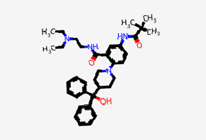 CCN(CC)CCNC(=O)c1cc(NC(=O)C(C)(C)C)ccc1N1CCC(C(O)(c2ccccc2)c2ccccc2)CC1